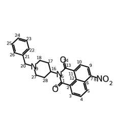 O=C1c2cccc3c([N+](=O)[O-])ccc(c23)C(=O)N1C1CCN(Cc2ccccc2)CC1